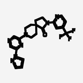 O=C1N(c2cc(C(F)(F)F)ccn2)CCC12CCN(c1cncc(-n3cccn3)n1)CC2